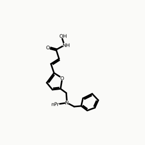 CCCN(Cc1ccccc1)Cc1ccc(C=CC(=O)NO)o1